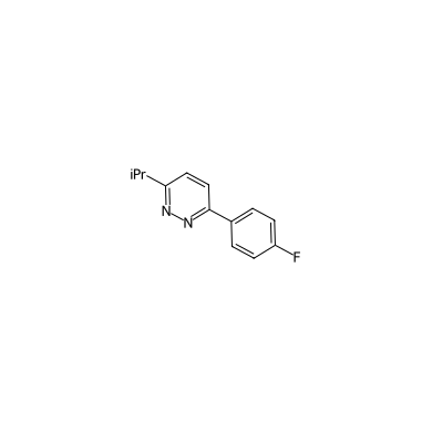 CC(C)c1ccc(-c2ccc(F)cc2)nn1